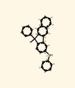 CC1(c2ccccc2)c2ccc(Nc3ccccc3)cc2-c2cc3ccccc3cc21